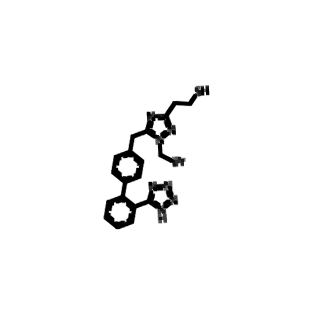 CC(C)Cn1nc(CCS)nc1Cc1ccc(-c2ccccc2-c2nnn[nH]2)cc1